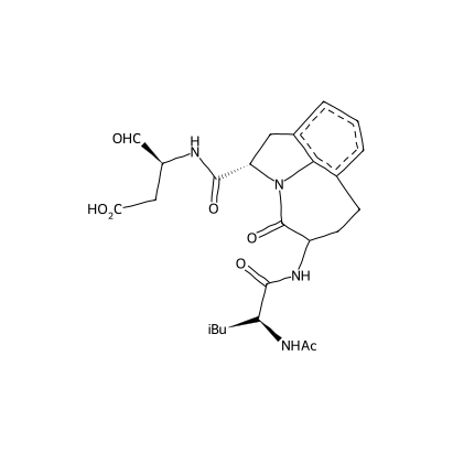 CC[C@H](C)[C@H](NC(C)=O)C(=O)NC1CCc2cccc3c2N(C1=O)[C@H](C(=O)N[C@H](C=O)CC(=O)O)C3